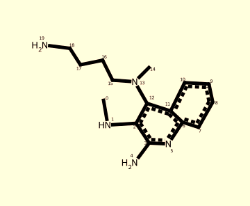 CNc1c(N)nc2ccccc2c1N(C)CCCCN